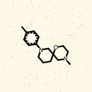 Cc1ccc(N2CCCC3(CN(C)CCO3)C2)cc1